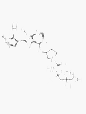 CCn1ncc(-c2nc3c(OC4CCN(C(=O)NC(C)(C)CC(C)(C)C)C4)ncnc3n2C)c1C